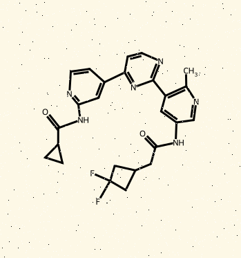 Cc1ncc(NC(=O)CC2CC(F)(F)C2)cc1-c1nccc(-c2ccnc(NC(=O)C3CC3)c2)n1